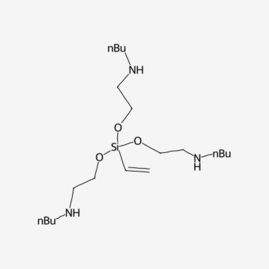 C=C[Si](OCCNCCCC)(OCCNCCCC)OCCNCCCC